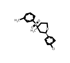 Cc1cccc(S(=O)(=O)[C@@]2(C)CCO[C@@H](c3ccc(Cl)cc3)C2)c1